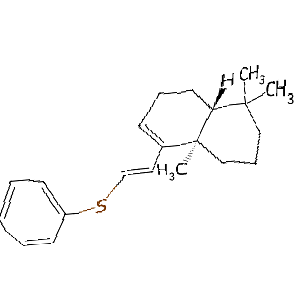 CC1(C)CCC[C@@]2(C)C(/C=C/Sc3ccccc3)=CCC[C@H]12